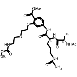 COC(=O)c1ccc(NC(=O)[C@H](CCCNC(N)=O)NC(=O)[C@@H](NC(C)=O)C(C)C)cc1OCCOCCNC(=O)OC(C)(C)C